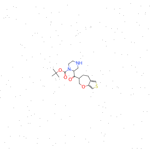 CC(C)(C)OC(=O)N1CCNCC1C(=O)C1CCc2cscc2OC1